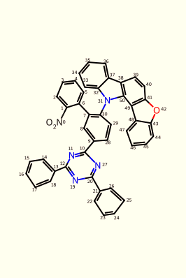 O=[N+]([O-])c1ccccc1-c1cc(-c2nc(-c3ccccc3)nc(-c3ccccc3)n2)ccc1-n1c2ccccc2c2ccc3oc4ccccc4c3c21